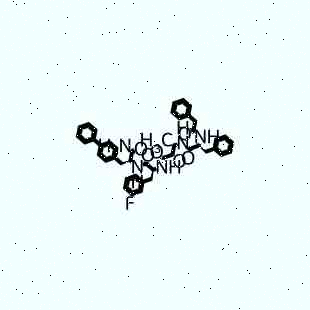 CC(NC(=O)[C@H](Cc1ccccc1)NC(=O)Cc1ccccc1)C(=O)C(=O)N[C@@H](Cc1cccc(F)c1)C(=O)N[C@@H](Cc1ccc(-c2ccccc2)cc1)C(N)=O